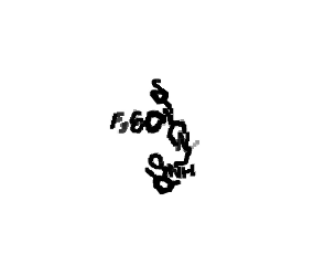 Cc1cccc(C)c1C(=O)NCC[C@@H](C)N1CCC(N(Cc2ccsc2)c2ccc(OC(F)(F)F)cc2)CC1